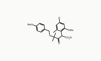 CCOC(=O)C(C(=O)C(C)(C)SCc1ccc(OC)cc1)c1c(C)cc(Cl)cc1OC